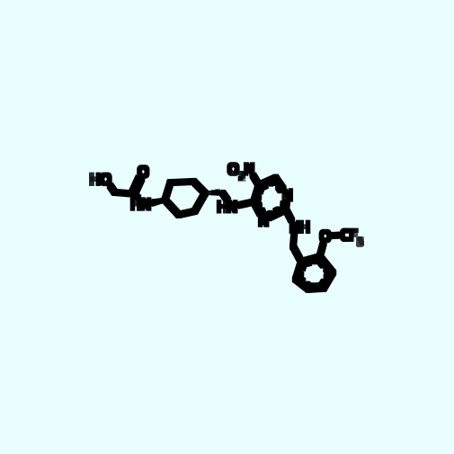 O=C(CO)N[C@H]1CC[C@H](CNc2nc(NCc3ccccc3OC(F)(F)F)ncc2[N+](=O)[O-])CC1